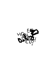 CCc1cccc(C2(Cc3nc(O)c(OCc4ccccc4)c(C(=O)O)n3)CCCC2)c1